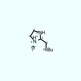 CCCCCC1NCC[NH+]1[O-]